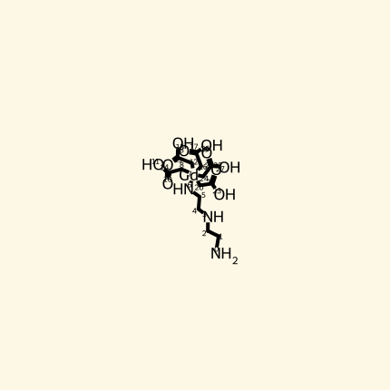 NCCNCC[NH][Gd]([CH2]C(=O)O)([CH2]C(=O)O)([CH2]C(=O)O)([CH2]C(=O)O)[CH2]C(=O)O